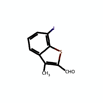 Cc1c(C=O)sc2c(I)cccc12